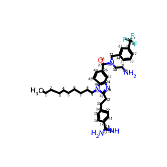 CCCCCCCCCCn1c(CCc2ccc(C(=N)N)cc2)nc2cc(C(=O)N(CCN)Cc3cccc(C(F)(F)F)c3)ccc21